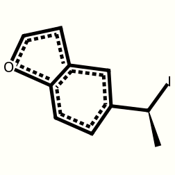 C[C@H](I)c1ccc2occc2c1